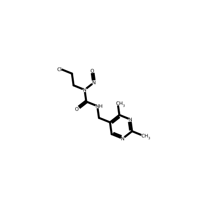 Cc1ncc(CNC(=O)N(CCCl)N=O)c(C)n1